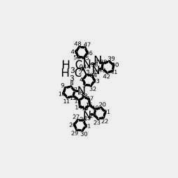 CC1(C)c2cc(-n3c4ccccc4c4cc5c(cc43)c3ccccc3n5-c3ccccc3)ccc2-n2c(nc3ccccc32)N1c1ccccc1